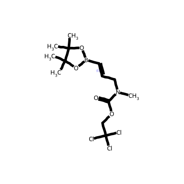 CN(C/C=C/B1OC(C)(C)C(C)(C)O1)C(=O)OCC(Cl)(Cl)Cl